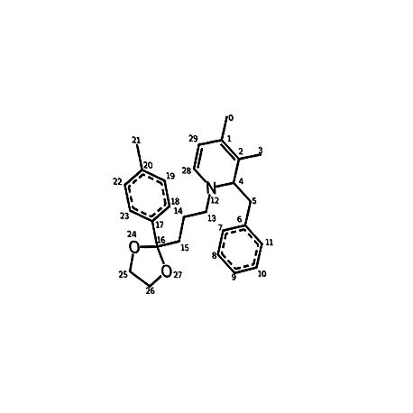 CC1=C(C)C(Cc2ccccc2)N(CCCC2(c3ccc(C)cc3)OCCO2)C=C1